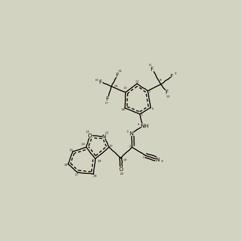 N#CC(=NNc1cc(C(F)(F)F)cc(C(F)(F)F)c1)C(=O)c1noc2ccccc12